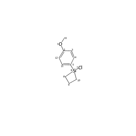 COc1ccc([Si]2(Cl)CCC2)cc1